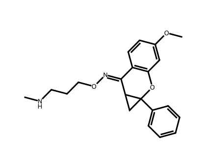 CNCCCON=C1c2ccc(OC)cc2OC2(c3ccccc3)CC12